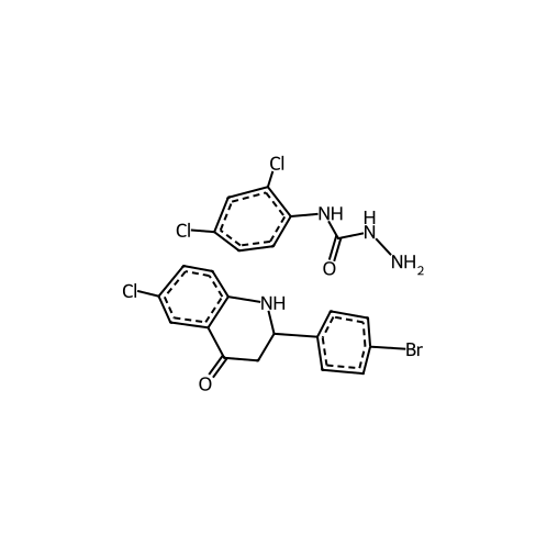 NNC(=O)Nc1ccc(Cl)cc1Cl.O=C1CC(c2ccc(Br)cc2)Nc2ccc(Cl)cc21